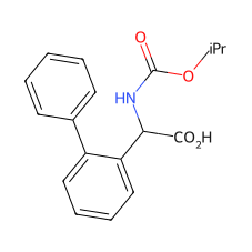 CC(C)OC(=O)NC(C(=O)O)c1ccccc1-c1ccccc1